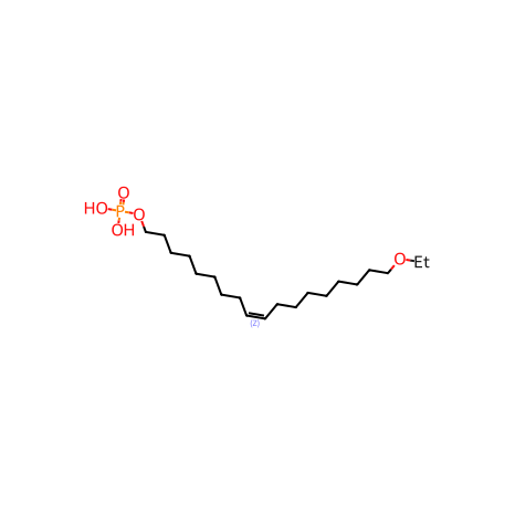 CCOCCCCCCCC/C=C\CCCCCCCCOP(=O)(O)O